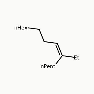 CCCCCCCCC=C(CC)CCCCC